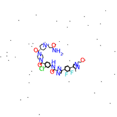 COCCn1cc(-c2ccc(-c3cnc(C(=O)Nc4ccc(C(=O)N5CCN(C(=O)[C@H]6CC[N@@+](C)(CCC(N)=O)CC6)CC5)c(Cl)c4)n3C)c(F)c2F)c(C)n1